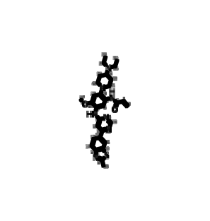 C=CC(=O)Nc1cc(Nc2cc(-c3ccc4nc(C)sc4c3)ncn2)c(OC)cc1N1CCC(N(CC)CC)CC1